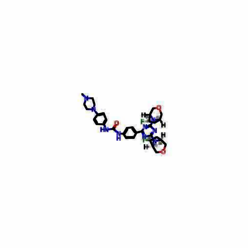 CN1CCN(c2ccc(NC(=O)Nc3ccc(-c4nc(N5[C@@H]6COC[C@H]5[C@@H](F)C6)nc(N5[C@@H]6COC[C@H]5[C@@H](F)C6)n4)cc3)cc2)CC1